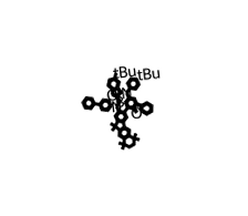 CC(C)(C)c1ccc(N2c3cc4c(oc5ccccc54)c4c3B(c3oc5ccc(C(C)(C)C)cc5c32)N(c2ccc(-c3ccccc3)cc2)c2cc3c(cc2-4)-c2cc4c(cc2C3(C)C)C(C)(C)CCC4(C)C)cc1